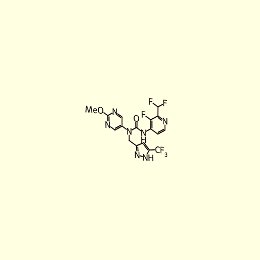 COc1ncc(N(Cc2cc(C(F)(F)F)[nH]n2)C(=O)Nc2ccnc(C(F)F)c2F)cn1